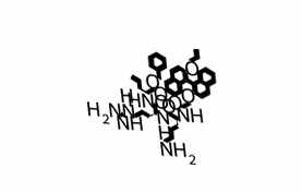 C=CCOc1ccc2ccccc2c1-c1c(OCC(=O)N[C@H](CCCCN)C(=O)N[C@H](CCCNC(=N)N)C(=O)N[C@@H](CC=C)C(=O)OCc2ccccc2)ccc2ccccc12